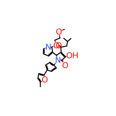 COCCOc1ncccc1C1C(C(=O)CC(C)C)=C(O)C(=O)N1c1ccc(-c2ccc(C)o2)cc1